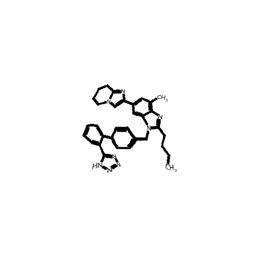 CCCCc1nc2c(C)cc(-c3cn4c(n3)CCCC4)cc2n1Cc1ccc(-c2ccccc2-c2nnn[nH]2)cc1